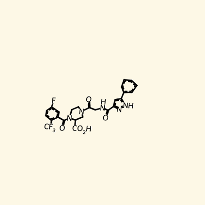 O=C(NCC(=O)N1CCN(C(=O)c2cc(F)ccc2C(F)(F)F)C(C(=O)O)C1)c1cc(-c2ccccc2)[nH]n1